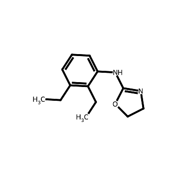 CCc1cccc(NC2=NCCO2)c1CC